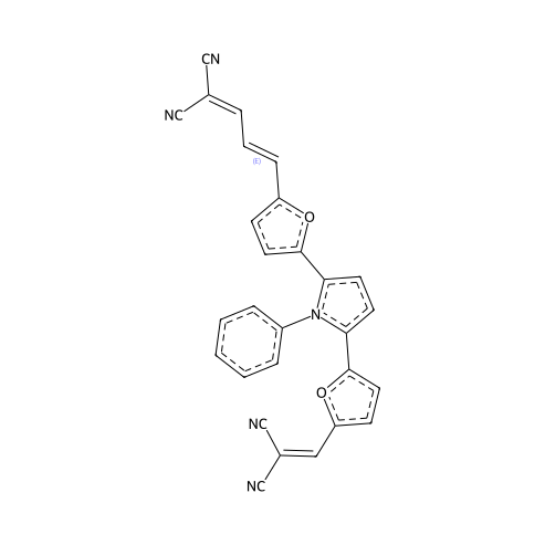 N#CC(C#N)=C/C=C/c1ccc(-c2ccc(-c3ccc(C=C(C#N)C#N)o3)n2-c2ccccc2)o1